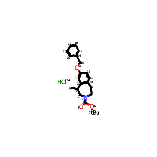 CC1CN(C(=O)OC(C)(C)C)CCc2ccc(OCc3ccccc3)cc21.Cl